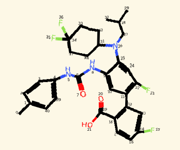 Cc1ccc(NC(=O)Nc2cc(-c3cc(F)ccc3C(=O)O)c(F)cc2N(CC(C)C)C2CCC(F)(F)CC2)cc1